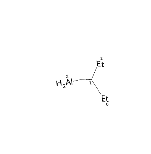 CC[CH]([AlH2])CC